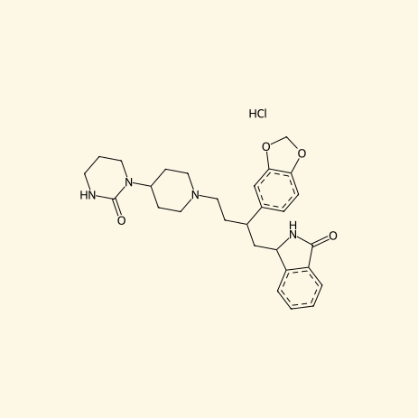 Cl.O=C1NC(CC(CCN2CCC(N3CCCNC3=O)CC2)c2ccc3c(c2)OCO3)c2ccccc21